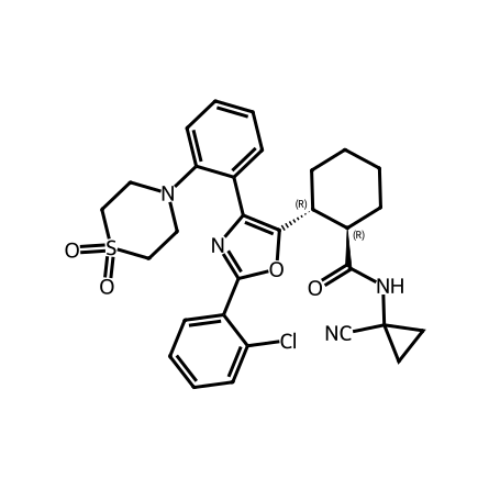 N#CC1(NC(=O)[C@@H]2CCCC[C@H]2c2oc(-c3ccccc3Cl)nc2-c2ccccc2N2CCS(=O)(=O)CC2)CC1